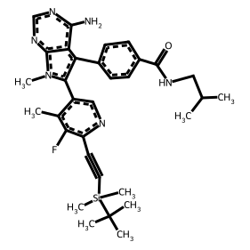 Cc1c(-c2c(-c3ccc(C(=O)NCC(C)C)cc3)c3c(N)ncnc3n2C)cnc(C#C[Si](C)(C)C(C)(C)C)c1F